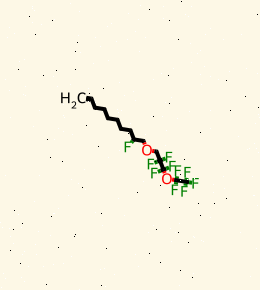 C=CCCCCCCC(F)COCC(F)(F)C(F)(F)OC(F)(F)C(F)(F)F